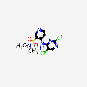 CN(C)S(=O)(=O)c1cnccc1Nc1nc(Cl)ncc1Cl